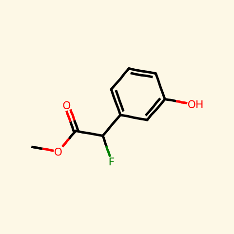 COC(=O)C(F)c1cccc(O)c1